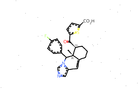 C[C@@]12C(=Cc3cncn3C1c1ccc(F)cc1)CCC[C@@H]2C(=O)c1ccc(C(=O)O)s1